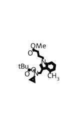 COC(=O)CCCn1cc(CN(OC(=O)C(C)(C)C)C2CC2)c2c(C)cccc21